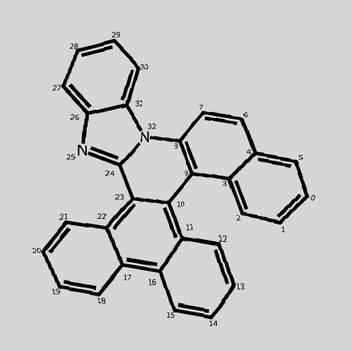 c1ccc2c(c1)ccc1c2c2c3ccccc3c3ccccc3c2c2nc3ccccc3n12